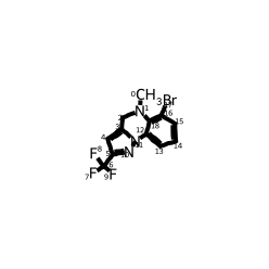 CN1Cc2cc(C(F)(F)F)nn2-c2cccc(Br)c21